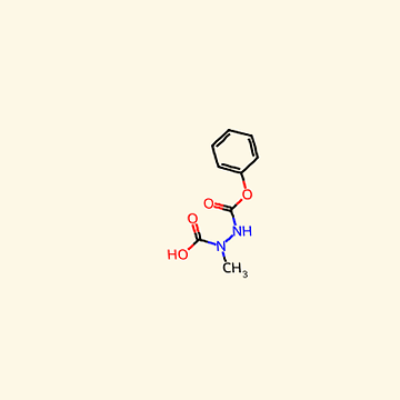 CN(NC(=O)Oc1ccccc1)C(=O)O